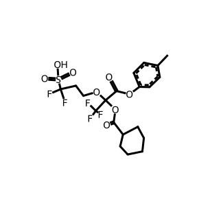 Cc1ccc(OC(=O)C(OCCC(F)(F)S(=O)(=O)O)(OC(=O)C2CCCCC2)C(F)(F)F)cc1